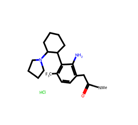 CNC(=O)Cc1ccc(C(F)(F)F)c(C2CCCCC2N2CCCC2)c1N.Cl